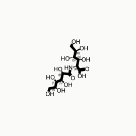 O=C(N[C@@H](C(=O)O)[C@@H](O)[C@H](O)[C@H](O)CO)[C@H](O)[C@@H](O)[C@H](O)[C@H](O)CO